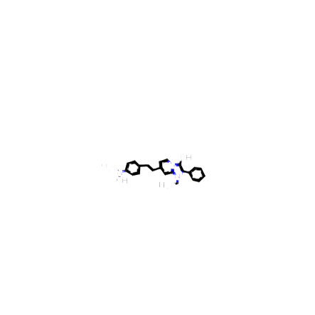 CC[n+]1c(-c2ccccc2)c(C)n2ccc(/C=C/c3ccc(N(C)C)cc3)cc21